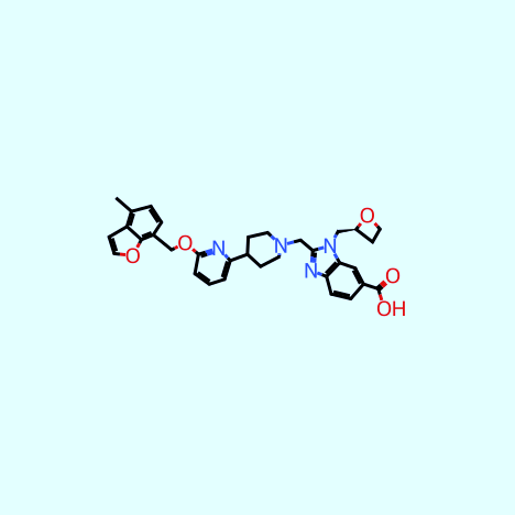 Cc1ccc(COc2cccc(C3CCN(Cc4nc5ccc(C(=O)O)cc5n4C[C@@H]4CCO4)CC3)n2)c2occc12